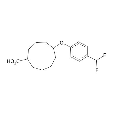 O=C(O)C1CCCCC(Oc2ccc(C(F)F)cc2)CCC1